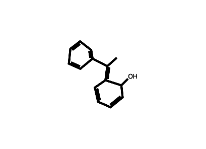 CC(=C1C=CC=CC1O)c1ccccc1